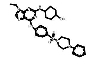 CCn1cnc2c(Nc3ccc(S(=O)(=O)N4CCN(c5ccccc5)CC4)cc3)nc(NC3CCC(O)CC3)nc21